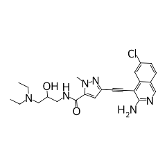 CCN(CC)CC(O)CNC(=O)c1cc(C#Cc2c(N)ncc3ccc(Cl)cc23)nn1C